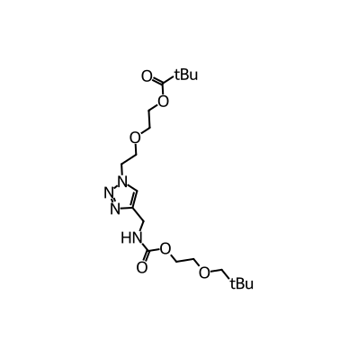 CC(C)(C)COCCOC(=O)NCc1cn(CCOCCOC(=O)C(C)(C)C)nn1